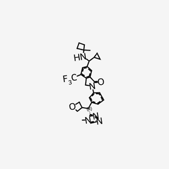 Cn1cnnc1[C@@H](c1cccc(N2Cc3c(cc(C(NC4(C)CCC4)C4CC4)cc3C(F)(F)F)C2=O)c1)C1COC1